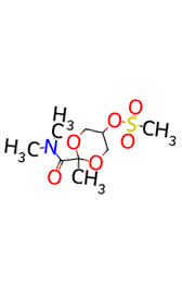 CN(C)C(=O)C1(C)OCC(OS(C)(=O)=O)CO1